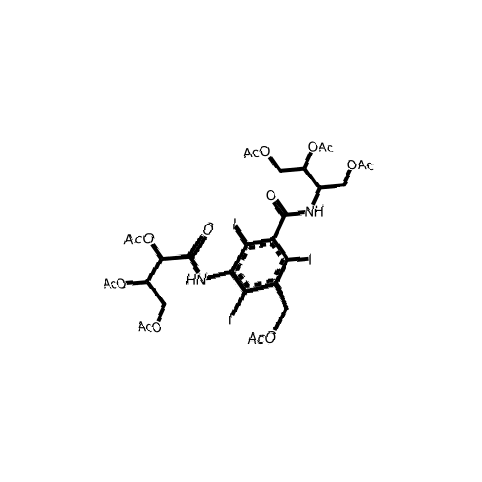 CC(=O)OCc1c(I)c(NC(=O)C(OC(C)=O)C(COC(C)=O)OC(C)=O)c(I)c(C(=O)NC(COC(C)=O)C(COC(C)=O)OC(C)=O)c1I